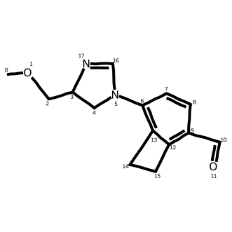 COCC1CN(c2ccc(C=O)c3c2CC3)C=N1